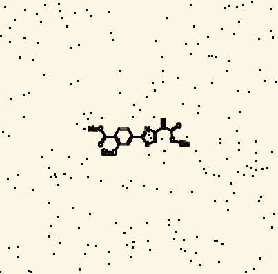 COC(=O)c1ccc(-c2nc(NC(=O)OC(C)(C)C)cs2)cc1OC